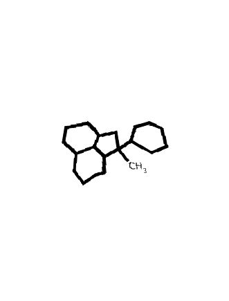 CC1(C2CCCCC2)CC2CCCC3CCCC1C32